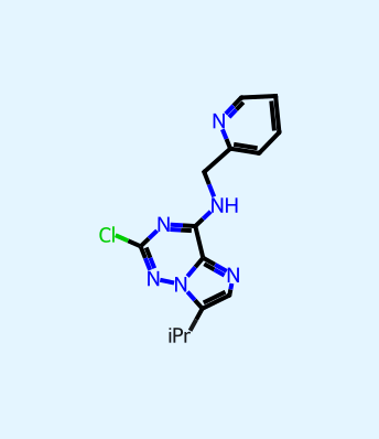 CC(C)c1cnc2c(NCc3ccccn3)nc(Cl)nn12